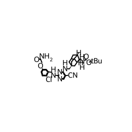 CC(C)(C)OC(=O)N[C@@H]1[C@@H]2CC3C[C@H]1C[C@@](CNc1nc(NCc4cc(OCC(N)=O)ccc4Cl)ncc1C#N)(C3)C2